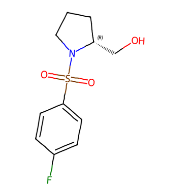 O=S(=O)(c1ccc(F)cc1)N1CCC[C@@H]1CO